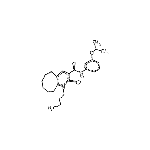 CCCCn1c2c(cc(C(=O)Nc3cccc(OC(C)C)c3)c1=O)CCCCCC2